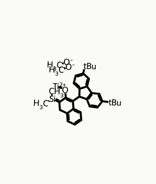 C[O-].C[O-].C[Si](C)=C1Cc2ccccc2C(C2c3ccc(C(C)(C)C)cc3-c3cc(C(C)(C)C)ccc32)=C1[O][Ti+2]